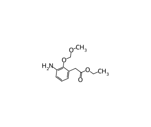 CCOC(=O)Cc1cccc(N)c1OCOC